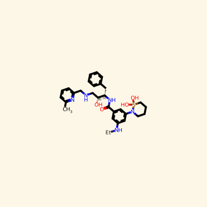 CCNc1cc(C(=O)N[C@@H](Cc2ccccc2)[C@H](O)CNCc2cccc(C)n2)cc(N2CCCCS2(O)O)c1